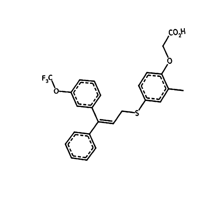 Cc1cc(SCC=C(c2ccccc2)c2cccc(OC(F)(F)F)c2)ccc1OCC(=O)O